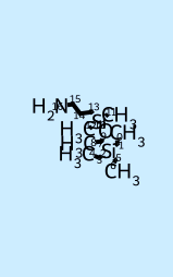 CC[Si](CC)(CC)C(C)O[Si](C)(C)CCCN